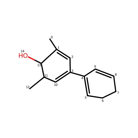 CC1=CC(C2=CCCC=C2)=CC(C)C1O